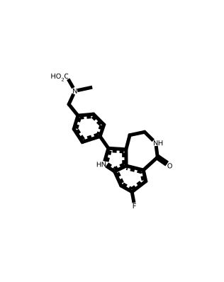 CN(Cc1ccc(-c2[nH]c3cc(F)cc4c3c2CCNC4=O)cc1)C(=O)O